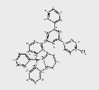 Clc1ccc(-c2nc(-c3ccccc3)nc(-c3cccc(C4(c5ccccc5)c5ccccc5-c5ccccc54)c3)n2)cc1